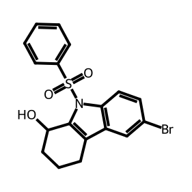 O=S(=O)(c1ccccc1)n1c2c(c3cc(Br)ccc31)CCCC2O